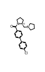 O=C(c1ccc(-c2ccc(Cl)cc2)cc1)N1CCC[C@H]1CN1CCCC1